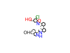 C=C(Nc1cccc(-c2cccc(-c3nc4cc(CO)cc(Cl)c4o3)c2C)c1C)c1nccc(C=O)c1/C=C\C